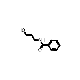 O=C(NCCCO)c1cc[c]cc1